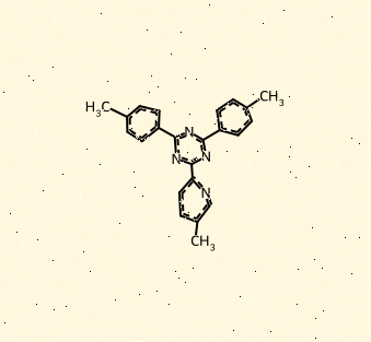 Cc1ccc(-c2nc(-c3ccc(C)cc3)nc(-c3ccc(C)cn3)n2)cc1